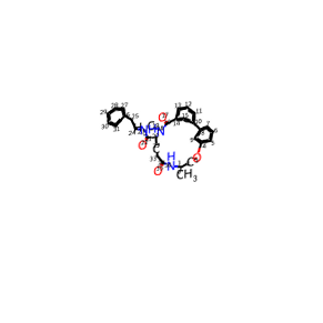 C[C@H]1COc2cccc(c2)-c2cccc(c2)C(=O)N(C)[C@H](C(=O)NCCc2ccccc2)CCC(=O)N1